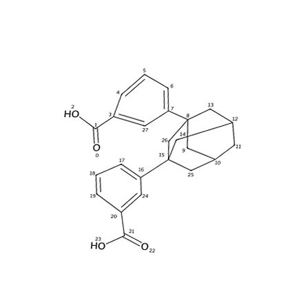 O=C(O)c1cccc(C23CC4CC(C2)CC(c2cccc(C(=O)O)c2)(C4)C3)c1